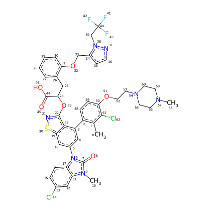 Cc1c(-c2cc(-n3c(=O)n(C)c4cc(Cl)ccc43)cc3snc(OC(Cc4ccccc4OCc4ccnn4CC(F)(F)F)C(=O)O)c23)ccc(OCCN2CCN(C)CC2)c1Cl